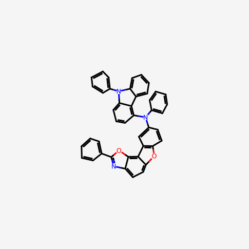 c1ccc(-c2nc3ccc4oc5ccc(N(c6ccccc6)c6cccc7c6c6ccccc6n7-c6ccccc6)cc5c4c3o2)cc1